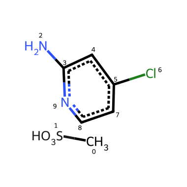 CS(=O)(=O)O.Nc1cc(Cl)ccn1